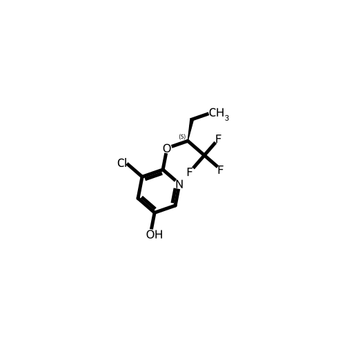 CC[C@H](Oc1ncc(O)cc1Cl)C(F)(F)F